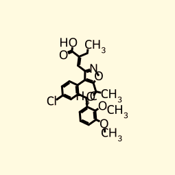 CC/C(=C\c1noc(C(C)C)c1-c1ccc(Cl)cc1C(=O)c1cccc(OC)c1OC)C(=O)O